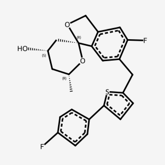 C[C@@H]1C[C@H](O)C[C@@]2(OCc3cc(F)c(Cc4ccc(-c5ccc(F)cc5)s4)cc32)O1